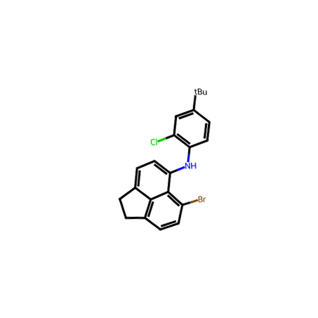 CC(C)(C)c1ccc(Nc2ccc3c4c(ccc(Br)c24)CC3)c(Cl)c1